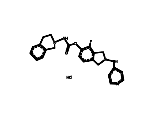 Cl.O=C(NN1CCc2ccccc2C1)Oc1ccc2c(c1F)CN(Nc1ccncc1)C2